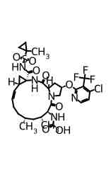 C[C@@H]1CC/C=C\[C@@H]2C[C@@]2(C(=O)NS(=O)(=O)C2(C)CC2)NC(=O)[C@@H]2C[C@@H](Oc3nccc(Cl)c3C(F)(F)F)CN2C(=O)[C@@H](NC(=O)O)[C@H](C)C1